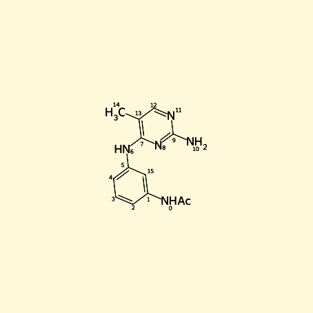 CC(=O)Nc1cccc(Nc2nc(N)ncc2C)c1